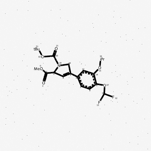 COC(=O)C1C=C(c2ccc(OC(F)F)c(OC(C)C)c2)CN1C(=O)OC(C)(C)C